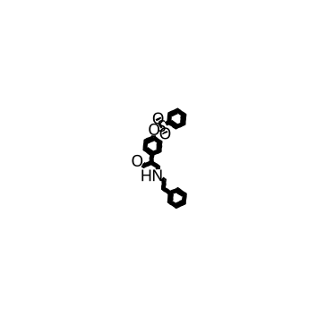 O=CC(CNCCc1ccccc1)c1ccc(OS(=O)(=O)c2ccccc2)cc1